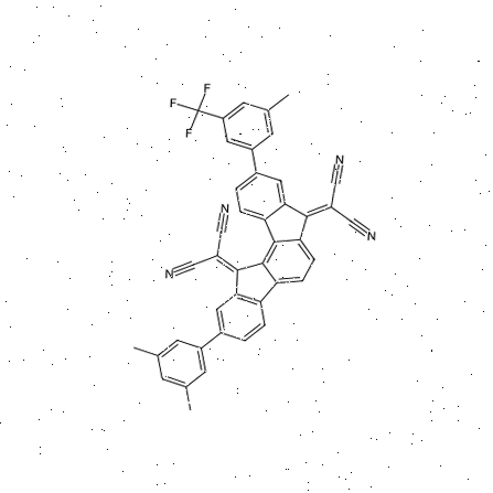 Cc1cc(C)cc(-c2ccc3c(c2)C(=C(C#N)C#N)c2c-3ccc3c2-c2ccc(-c4cc(C)cc(C(F)(F)F)c4)cc2C3=C(C#N)C#N)c1